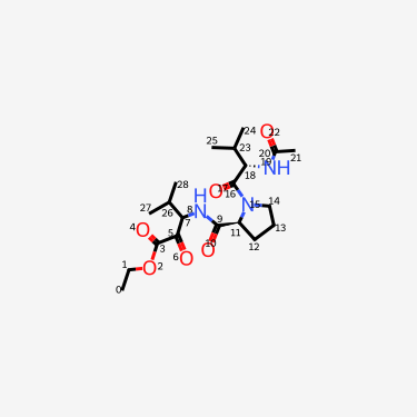 CCOC(=O)C(=O)C(NC(=O)[C@@H]1CCCN1C(=O)[C@@H](NC(C)=O)C(C)C)C(C)C